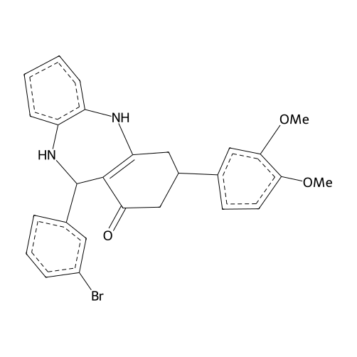 COc1ccc(C2CC(=O)C3=C(C2)Nc2ccccc2NC3c2cccc(Br)c2)cc1OC